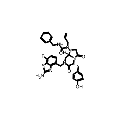 C=CCN(C(=O)NCc1ccccc1)N1CC(=O)N2[C@H](Cc3ccc(O)cc3)C(=O)N(Cc3ccc(F)c4sc(N)nc34)C[C@@H]21